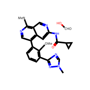 CNc1ncc(-c2cccc(-c3ncn(C)n3)c2OC)c2cc(NC(=O)C3CC3)ncc12.O=CO